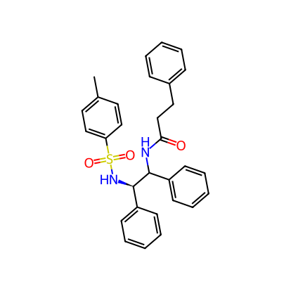 Cc1ccc(S(=O)(=O)N[C@H](c2ccccc2)C(NC(=O)CCc2ccccc2)c2ccccc2)cc1